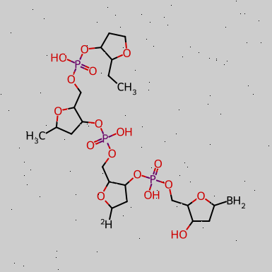 [2H]C1CC(OP(=O)(O)OCC2OC(B)CC2O)C(COP(=O)(O)OC2CC(C)OC2COP(=O)(O)OC2CCOC2CC)O1